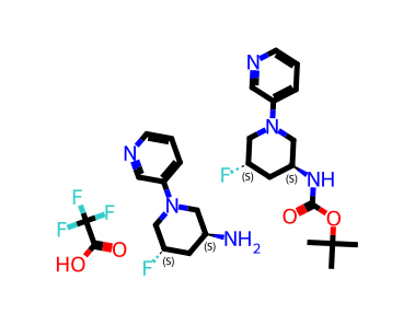 CC(C)(C)OC(=O)N[C@H]1C[C@H](F)CN(c2cccnc2)C1.N[C@H]1C[C@H](F)CN(c2cccnc2)C1.O=C(O)C(F)(F)F